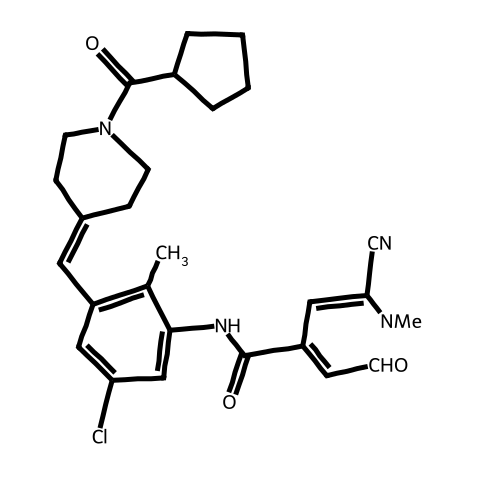 CN/C(C#N)=C\C(=C/C=O)C(=O)Nc1cc(Cl)cc(C=C2CCN(C(=O)C3CCCC3)CC2)c1C